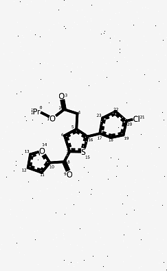 CC(C)OC(=O)Cc1cc(C(=O)c2ccco2)sc1-c1ccc(Cl)cc1